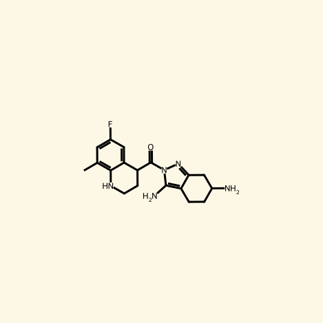 Cc1cc(F)cc2c1NCCC2C(=O)n1nc2c(c1N)CCC(N)C2